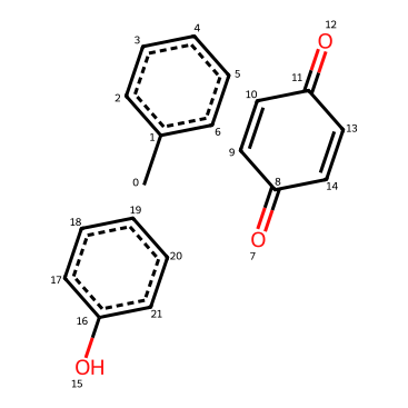 Cc1ccccc1.O=C1C=CC(=O)C=C1.Oc1ccccc1